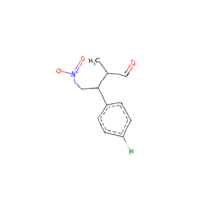 CC(C=O)C(C[N+](=O)[O-])c1ccc(Br)cc1